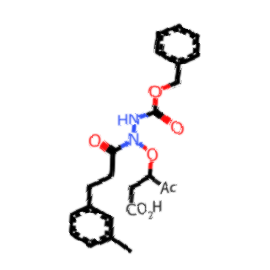 CC(=O)C(CC(=O)O)ON(NC(=O)OCc1ccccc1)C(=O)CCc1cccc(C)c1